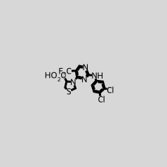 O=C(O)C1CSCN1c1nc(Nc2ccc(Cl)c(Cl)c2)ncc1C(F)(F)F